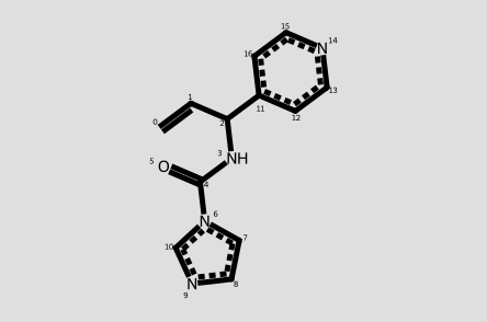 C=CC(NC(=O)n1ccnc1)c1ccncc1